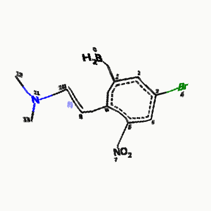 Bc1cc(Br)cc([N+](=O)[O-])c1/C=C/N(C)C